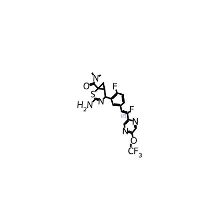 CN(C)C(=O)C12CC1C(c1cc(/C=C(\F)c3cnc(OCC(F)(F)F)cn3)ccc1F)N=C(N)S2